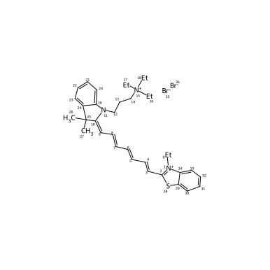 CC[n+]1c(/C=C/C=C/C=C/C=C2\N(CCC[N+](CC)(CC)CC)c3ccccc3C2(C)C)sc2ccccc21.[Br-].[Br-]